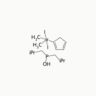 CC(C)CP(O)CC(C)C.[CH3][Ir]([CH3])([I])([I])[C]1=CC=CC1